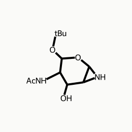 CC(=O)NC1C(OC(C)(C)C)OC2NC2C1O